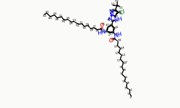 CCCCCCCCCCCCCCCCCC(=O)Nc1cc(NC(=O)CCCCCCCCCCCCCCCCC)cc(-c2nn3nc(C(C)(C)C)c(Cl)c3[nH]2)c1